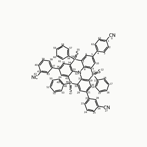 N#Cc1ccc(-c2cc3c4c(c2)P(=S)(c2ccccc2)c2cc(-c5cccc(C#N)c5)cc5c2N4c2c(cc(-c4cccc(C#N)c4)cc2P5(=S)c2ccccc2)P3(=S)c2ccccc2)cc1